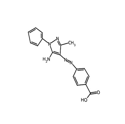 Cc1nn(-c2ccccc2)c(N)c1/N=N/c1ccc(C(=O)O)cc1